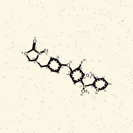 CCN1C(=O)OC[C@@H]1Cc1ccc(Oc2ccc(N(C)c3ncccc3[N+](=O)[O-])cc2F)cc1